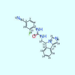 N#Cc1ccc(NC(=O)NCC2c3ccccc3-c3cncn32)c(F)c1